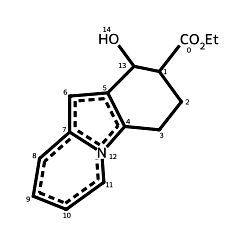 CCOC(=O)C1CCc2c(cc3ccccn23)C1O